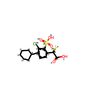 O=C(O)C(=S)c1ccc(C2CCCCC2)c(Cl)c1S(=O)(=O)O